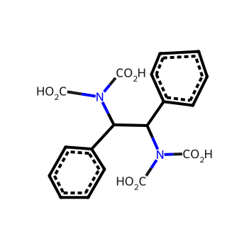 O=C(O)N(C(=O)O)C(c1ccccc1)C(c1ccccc1)N(C(=O)O)C(=O)O